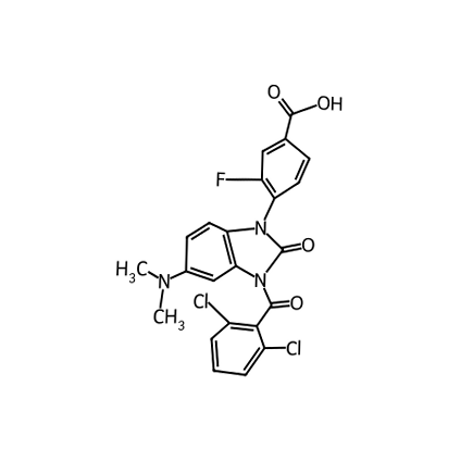 CN(C)c1ccc2c(c1)n(C(=O)c1c(Cl)cccc1Cl)c(=O)n2-c1ccc(C(=O)O)cc1F